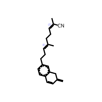 C=C1C=Cc2ccc(CC/C=C(\C)CC/C=C(/C)C#N)cc2C1